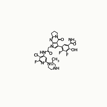 C[C@H]1CNCCN1c1cc(NC(=O)Cn2cc(-c3cc(C(N)=O)c(O)c(F)c3F)c3c(=O)n4c(nc32)CCC4)c(Cl)c(F)n1